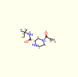 BC(=O)N1CCN[C@H](C(=O)NC(C)(C)C)C1